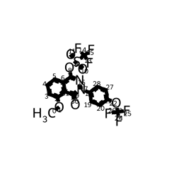 COc1cccc2c(OS(=O)(=O)C(F)(F)F)nn(-c3ccc(OC(F)(F)F)cc3)c(=O)c12